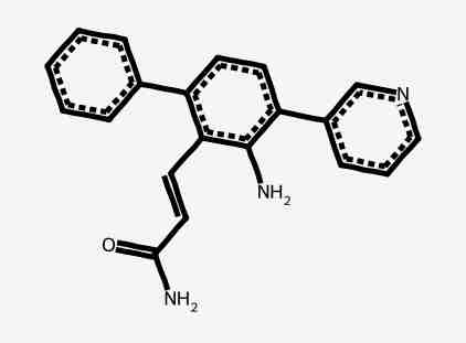 NC(=O)C=Cc1c(-c2ccccc2)ccc(-c2cccnc2)c1N